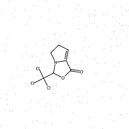 O=C1OC(C(Cl)(Cl)Cl)N2CCC=C12